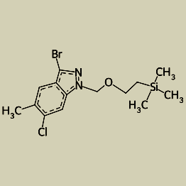 Cc1cc2c(Br)nn(COCC[Si](C)(C)C)c2cc1Cl